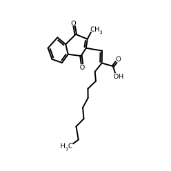 CCCCCCCCCC(=CC1=C(C)C(=O)c2ccccc2C1=O)C(=O)O